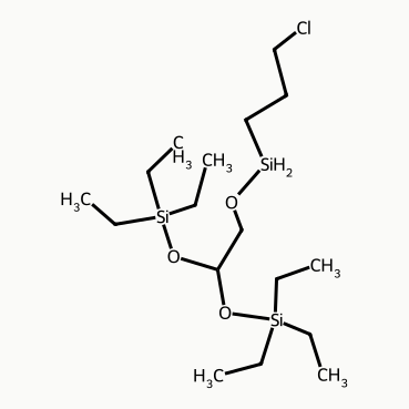 CC[Si](CC)(CC)OC(CO[SiH2]CCCCl)O[Si](CC)(CC)CC